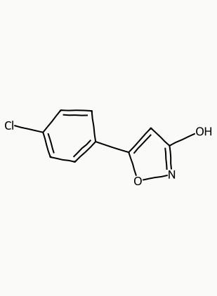 Oc1cc(-c2ccc(Cl)cc2)on1